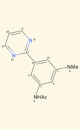 CNc1cc(NC(C)=O)cc(-c2ncccn2)c1